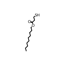 CCCCCCCCCCOC(=O)CCS